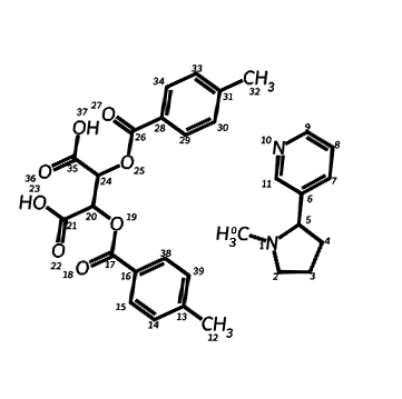 CN1CCCC1c1cccnc1.Cc1ccc(C(=O)OC(C(=O)O)C(OC(=O)c2ccc(C)cc2)C(=O)O)cc1